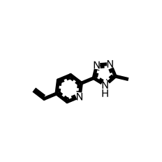 C=Cc1ccc(-c2nnc(C)[nH]2)nc1